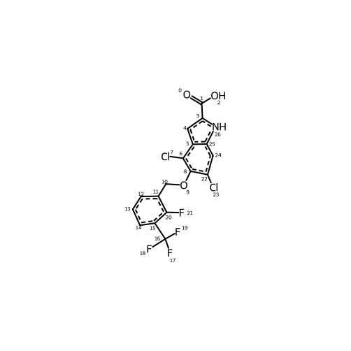 O=C(O)c1cc2c(Cl)c(OCc3cccc(C(F)(F)F)c3F)c(Cl)cc2[nH]1